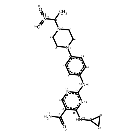 CC(N1CCN(c2ccc(Nc3ncc(C(N)=O)c(NC4CC4)n3)cc2)CC1)[SH](=O)=O